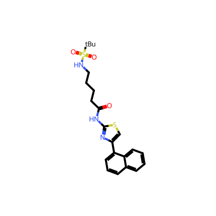 CC(C)(C)S(=O)(=O)NCCCCC(=O)Nc1nc(-c2cccc3ccccc23)cs1